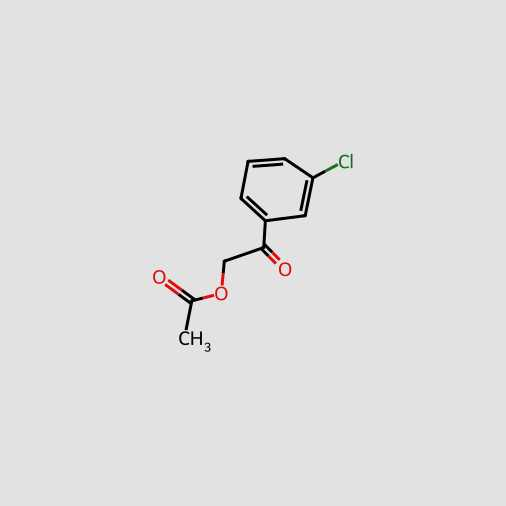 CC(=O)OCC(=O)c1cccc(Cl)c1